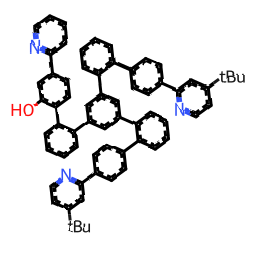 CC(C)(C)c1ccnc(-c2ccc(-c3ccccc3-c3cc(-c4ccccc4-c4ccc(-c5cc(C(C)(C)C)ccn5)cc4)cc(-c4ccccc4-c4ccc(-c5ccccn5)cc4O)c3)cc2)c1